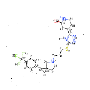 Cn1c(SCCCN2CCC3(CC3c3ccc(C(F)(F)F)cc3)C2)nnc1C1CCNC(=O)C1